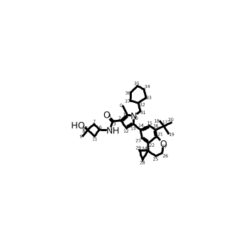 Cc1c(C(=O)NC2CC(C)(O)C2)cc(-c2cc(C(C)(C)C)c3c(c2)C2(CCO3)CC2)n1CC1CCCCC1